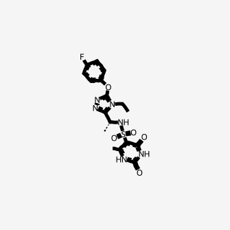 CCn1c(Oc2ccc(F)cc2)nnc1[C@@H](C)NS(=O)(=O)c1c(C)[nH]c(=O)[nH]c1=O